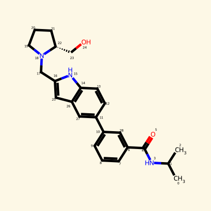 CC(C)NC(=O)c1cccc(-c2ccc3[nH]c(CN4CCC[C@@H]4CO)cc3c2)c1